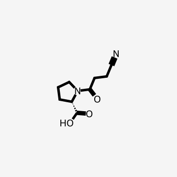 N#CCCC(=O)N1CCC[C@H]1C(=O)O